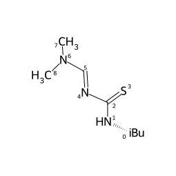 CC[C@@H](C)NC(=S)/N=C/N(C)C